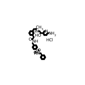 C[C@H](Cc1cccc(CC(=O)NCc2ccc(S(=O)(=O)NCc3ccccc3)cc2)c1)NC[C@@H](O)c1ccc(N)nc1.Cl